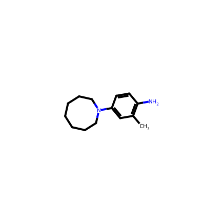 Cc1cc(N2CCCCCCC2)ccc1N